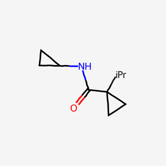 CC(C)C1(C(=O)NC2CC2)CC1